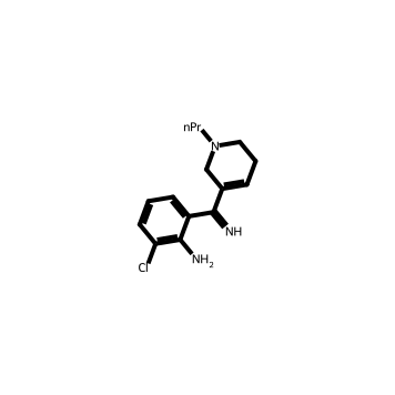 CCCN1CCC=C(C(=N)c2cccc(Cl)c2N)C1